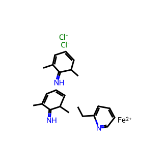 CC1=CC=CC(C)C1=N.CC1=CC=CC(C)C1=N.CCc1ccccn1.[Cl-].[Cl-].[Fe+2]